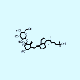 C=C1/C(=C\C=C2CCC[C@@]3(C)C2CC[C@@H]3[C@H](C)CCCC(C)(C)O)C[C@@H](O)CC1(O)O[C@@H]1O[C@H](CO)[C@@H](O)[C@H](O)[C@H]1O